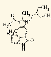 CCN(CC)CCn1c(C)c(C(N)=O)c(C)c1C=C1C(=O)Nc2ccc(F)cc21